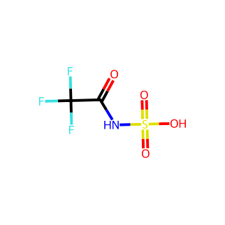 O=C(NS(=O)(=O)O)C(F)(F)F